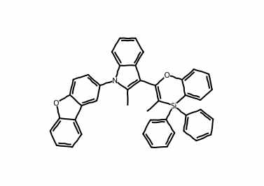 CC1=C(c2c(C)n(-c3ccc4oc5ccccc5c4c3)c3ccccc23)Oc2ccccc2[Si]1(c1ccccc1)c1ccccc1